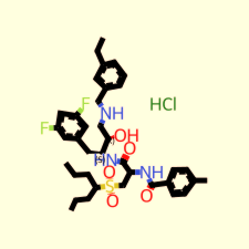 CCCC(CCC)S(=O)(=O)CC(NC(=O)c1ccc(C)cc1)C(=O)N[C@@H](Cc1cc(F)cc(F)c1)[C@H](O)CNCc1cccc(CC)c1.Cl